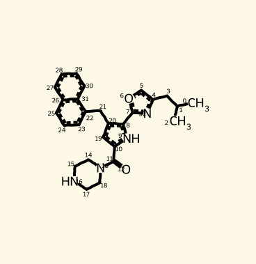 CC(C)Cc1coc(-c2[nH]c(C(=O)N3CCNCC3)cc2Cc2cccc3ccccc23)n1